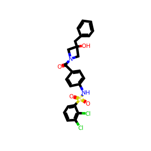 O=C(c1ccc(NS(=O)(=O)c2cccc(Cl)c2Cl)cc1)N1CC(O)(Cc2ccccc2)C1